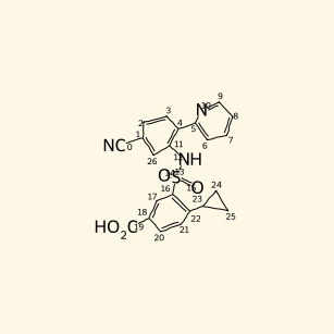 N#Cc1ccc(-c2ccccn2)c(NS(=O)(=O)c2cc(C(=O)O)ccc2C2CC2)c1